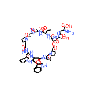 CC(C)CC1NC(=O)C(C(C)c2c[nH]c3ccccc23)NC(=O)/C(=C\c2c[nH]c3ccccc23)NC(=O)C2CCCN2C(=O)CNC(=O)C(C)NC(=O)C(C(C)O)NC(=O)C(NC(=O)C(CO)NC(=O)CC(N)C(=O)O)C(C)OC(=O)C2CCCN2C1=O